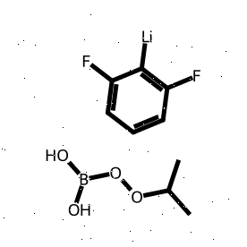 CC(C)OOB(O)O.[Li][c]1c(F)cccc1F